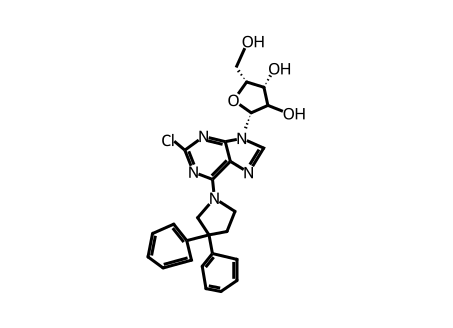 OC[C@H]1O[C@@H](n2cnc3c(N4CCC(c5ccccc5)(c5ccccc5)C4)nc(Cl)nc32)C(O)[C@H]1O